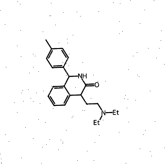 CCN(CC)CCC1C(=O)NC(c2ccc(C)cc2)c2ccccc21